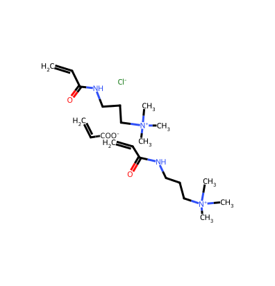 C=CC(=O)NCCC[N+](C)(C)C.C=CC(=O)NCCC[N+](C)(C)C.C=CC(=O)[O-].[Cl-]